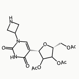 CC(=O)OC[C@H]1O[C@@H](c2cn(C3CNC3)c(=O)[nH]c2=O)C(OC(C)=O)C1OC(C)=O